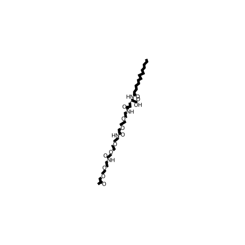 CCCCCCCCCCCCCC(=O)N[C@@H](CCC(=O)NCCOCCOCC(=O)NCCOCCOCC(=O)NCCOCCOCC(C)=O)C(=O)O